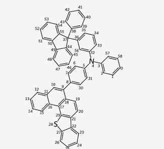 c1ccc(N(c2ccc(-c3cc4ccccc4c4c3ccc3c5ccccc5sc34)cc2)c2cccc(C3(c4ccccc4)c4ccccc4-c4ccccc43)c2)cc1